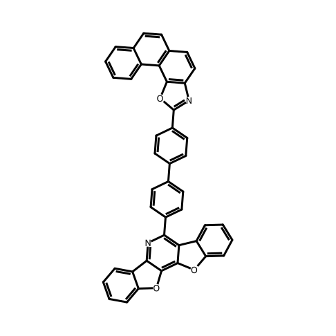 c1ccc2c(c1)ccc1ccc3nc(-c4ccc(-c5ccc(-c6nc7c8ccccc8oc7c7oc8ccccc8c67)cc5)cc4)oc3c12